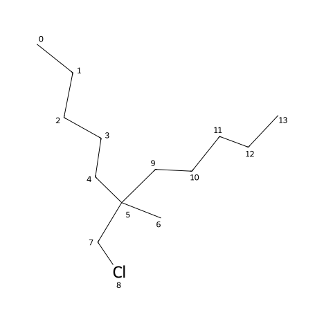 CCCCCC(C)(CCl)CCCCC